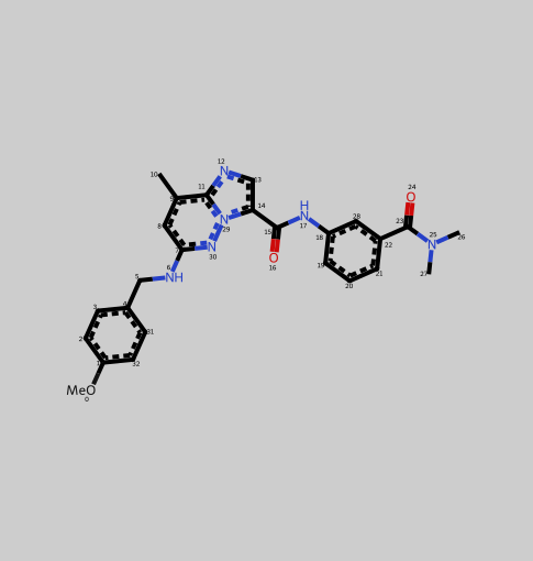 COc1ccc(CNc2cc(C)c3ncc(C(=O)Nc4cccc(C(=O)N(C)C)c4)n3n2)cc1